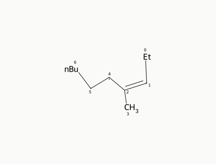 CCC=C(C)[CH]CCCCC